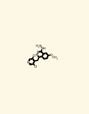 COc1ccc2c(Cc3c(Cl)cncc3Cl)nnc(NN)c2c1